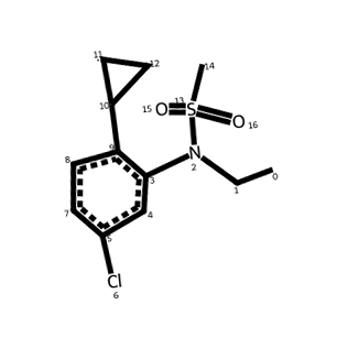 CCN(c1cc(Cl)ccc1C1[CH]C1)S(C)(=O)=O